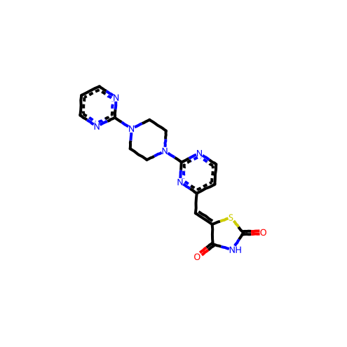 O=C1NC(=O)/C(=C/c2ccnc(N3CCN(c4ncccn4)CC3)n2)S1